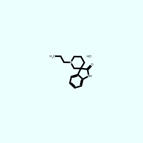 CCCN1CCCC2(C1)C(=O)Nc1ccccc12.Cl